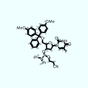 COc1ccc(C(OCC2OC(n3cc(F)c(=O)[nH]c3=O)CC2OP(OCCC#N)N(C(C)C)C(C)C)(c2ccccc2)c2ccc(OC)cc2)cc1